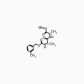 Cc1cccc(COC(=O)N[C@@H](C)C(=O)N[C@@H](C)C(=O)OC(C)(C)C)c1